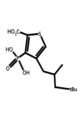 CC(Cc1csc(C(=O)O)c1P(=O)(O)O)CC(C)(C)C